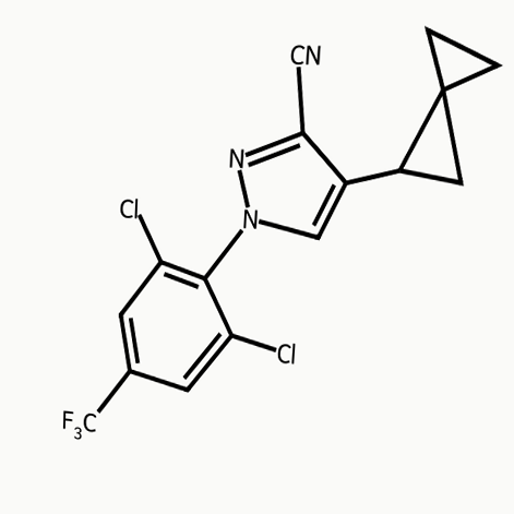 N#Cc1nn(-c2c(Cl)cc(C(F)(F)F)cc2Cl)cc1C1CC12CC2